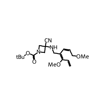 C=C/C(OC)=C(\C=C/COC)CNC1(C#N)CN(C(=O)OC(C)(C)C)C1